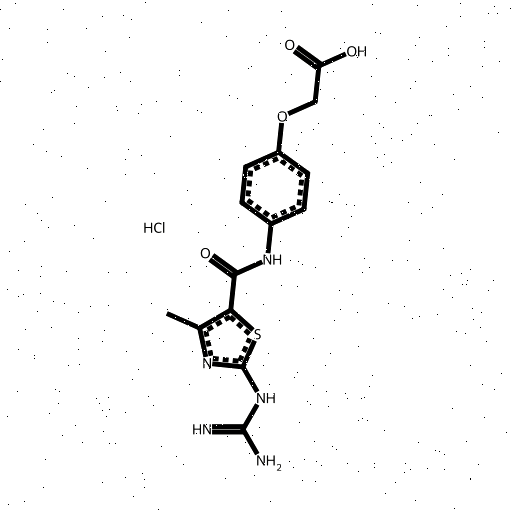 Cc1nc(NC(=N)N)sc1C(=O)Nc1ccc(OCC(=O)O)cc1.Cl